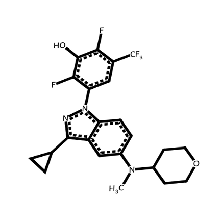 CN(c1ccc2c(c1)c(C1CC1)nn2-c1cc(C(F)(F)F)c(F)c(O)c1F)C1CCOCC1